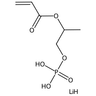 C=CC(=O)OC(C)COP(=O)(O)O.[LiH]